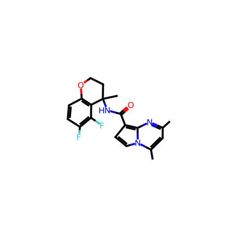 Cc1cc(C)n2ccc(C(=O)NC3(C)CCOc4ccc(F)c(F)c43)c2n1